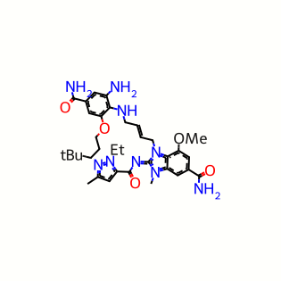 CCn1nc(C)cc1C(=O)/N=c1\n(C)c2cc(C(N)=O)cc(OC)c2n1C/C=C/CNc1c(N)cc(C(N)=O)cc1OCCCC(C)(C)C